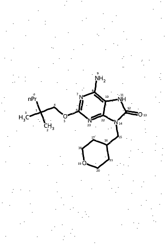 CCCC(C)(C)COc1nc(N)c2[nH]c(=O)n(CC3CCOCC3)c2n1